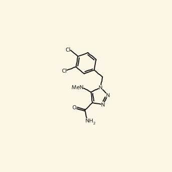 CNc1c(C(N)=O)nnn1Cc1ccc(Cl)c(Cl)c1